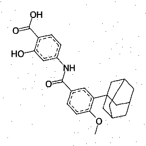 COc1ccc(C(=O)Nc2ccc(C(=O)O)c(O)c2)cc1C12CC3CC(CC(C3)C1)C2